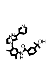 Cc1cc(C)c(-n2ccn3nc(-c4cccnc4)cc23)cc1NC(=O)c1cccc(C(C)(C)O)c1